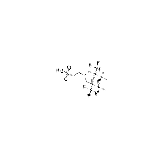 O=S(=O)(O)CCC(CC(F)(C(F)(F)F)C(F)(F)F)CC(F)(C(F)(F)F)C(F)(F)F